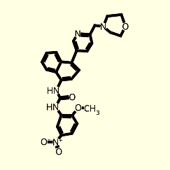 COc1ccc([N+](=O)[O-])cc1NC(=O)Nc1ccc(-c2ccc(CN3CCOCC3)nc2)c2ccccc12